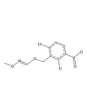 CON=COCc1c(Cl)ccc(C(=O)Cl)c1Cl